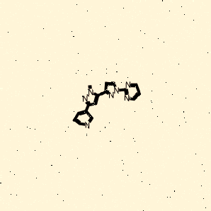 Cn1nc(-c2cccnc2)cc1-c1ccn(-c2ncccn2)n1